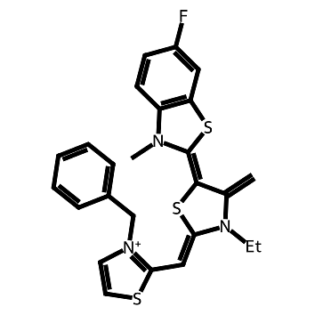 C=C1/C(=C2\Sc3cc(F)ccc3N2C)S/C(=C\c2scc[n+]2Cc2ccccc2)N1CC